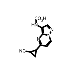 N#CC1CC1c1ccn2ncc(NC(=O)O)c2n1